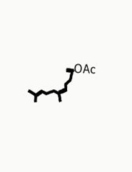 C=C(CCC=C(C)CCC=C(C)C)OC(C)=O